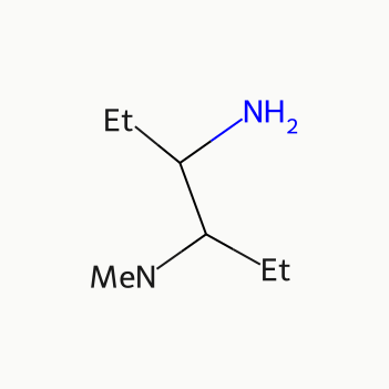 CCC(N)C(CC)NC